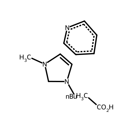 CC(=O)O.CCCCN1C=CN(C)C1.c1ccncc1